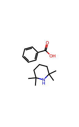 CC1(C)CCCC(C)(C)N1.O=C(O)c1ccccc1